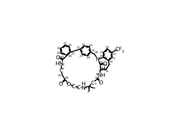 CC1(C)CC(=O)N[C@@H]2CCc3cc(C(F)(F)F)ccc3N(Cc3ccc(cc3)-c3ccccc3C(=O)NCCC(=O)OCCN1)C2=O